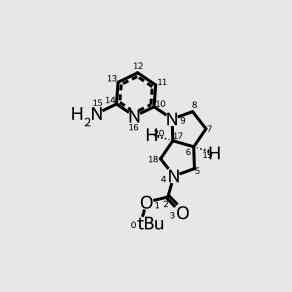 CC(C)(C)OC(=O)N1C[C@@H]2CCN(c3cccc(N)n3)[C@@H]2C1